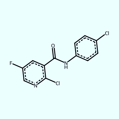 O=C(Nc1ccc(Cl)cc1)c1cc(F)cnc1Cl